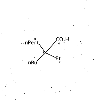 CCCCCC(CC)(CCCC)C(=O)O